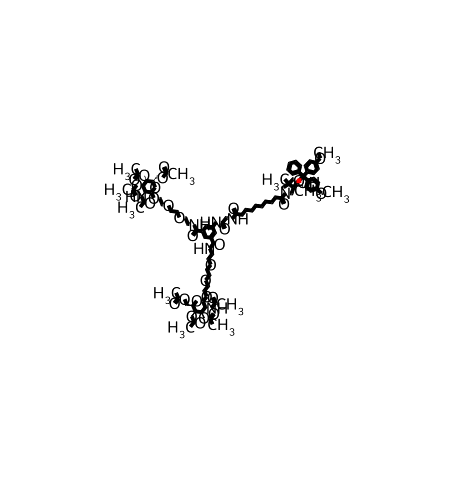 COc1ccc(C(OCC2(C)CN(C(=O)CCCCCCCCC(=O)NCC(=O)Nc3cc(C(=O)NCCOCCOCCOC4O[C@@H](COC(C)=O)[C@@H](OC(C)=O)[C@@H](OC(C)=O)[C@@H]4NC(C)=O)cc(C(=O)NCCOCCOCCOC4O[C@H](COC(C)=O)[C@H](OC(C)=O)[C@H](OC(C)=O)[C@H]4NC(C)=O)c3)CC2(C)CO)(c2ccccc2)c2ccc(OC)cc2)cc1